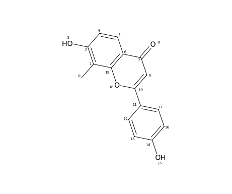 Cc1c(O)ccc2c(=O)cc(-c3ccc(O)cc3)oc12